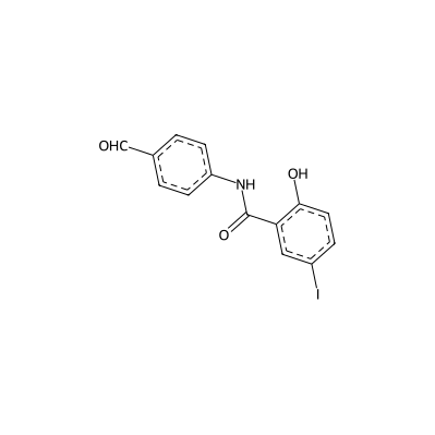 O=Cc1ccc(NC(=O)c2cc(I)ccc2O)cc1